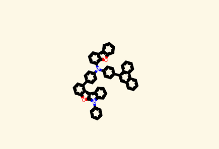 c1ccc(-n2c3ccccc3c3c4c(-c5ccc(N(c6ccc(-c7cc8ccccc8c8ccccc78)cc6)c6cccc7c6oc6ccccc67)cc5)cccc4oc32)cc1